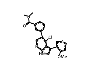 COc1ccncc1-c1c[nH]c2ncc(-c3cccc(C(=O)N(C)C)c3)c(Cl)c12